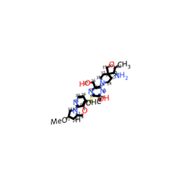 CO[C@H]1C[C@H]2COc3c(Sc4cnc(N5CCC6(CC5)CO[C@@H](C)[C@H]6N)c(CO)n4)ccnc3N2C1.O=CO